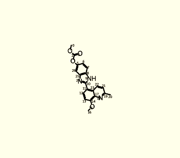 COC(=O)Oc1ccc2[nH]c(-c3ccc(OC)c4nc(C)ccc34)nc2c1